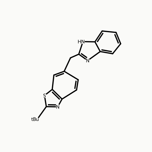 CC(C)(C)c1nc2ccc(Cc3nc4ccccc4[nH]3)cc2s1